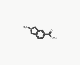 COC(=O)c1ccc2c(c1)CN(C)C2